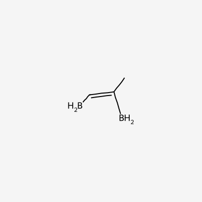 B/C=C(\B)C